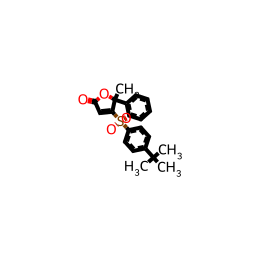 CC(C)(C)c1ccc(S(=O)(=O)C2=CC(=O)OC2(C)c2ccccc2)cc1